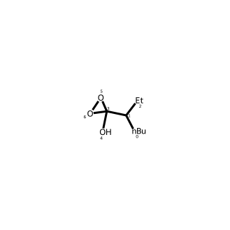 CCCCC(CC)C1(O)OO1